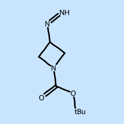 CC(C)(C)OC(=O)N1CC(N=N)C1